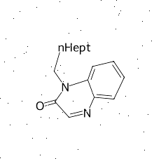 CCCCCCCCn1c(=O)cnc2ccccc21